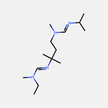 CCN(C)/C=N/C(C)(C)CCN(C)/C=N/C(C)C